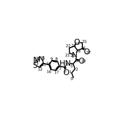 CCCC(NC(=O)c1ccc(-c2csnn2)cc1)C(=O)N1CCC2OCC(=O)C21